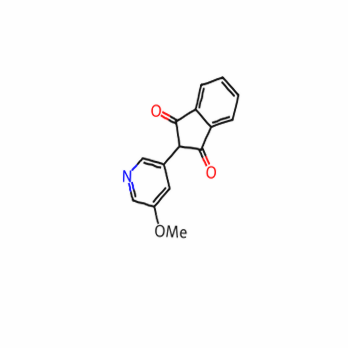 COc1cncc(C2C(=O)c3ccccc3C2=O)c1